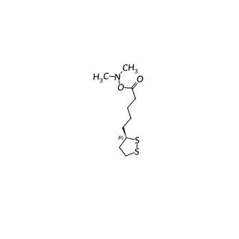 CN(C)OC(=O)CCCC[C@@H]1CCSS1